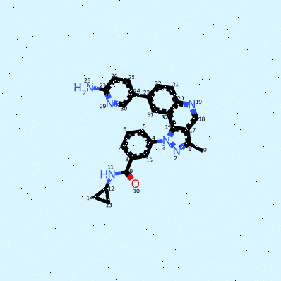 Cc1nn(-c2cccc(C(=O)NC3CC3)c2)c2c1cnc1ccc(-c3ccc(N)nc3)cc12